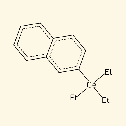 C[CH2][Ge]([CH2]C)([CH2]C)[c]1ccc2ccccc2c1